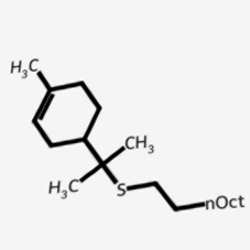 CCCCCCCCCCSC(C)(C)C1CC=C(C)CC1